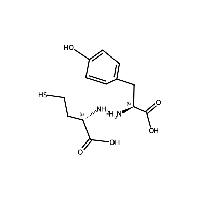 N[C@@H](CCS)C(=O)O.N[C@@H](Cc1ccc(O)cc1)C(=O)O